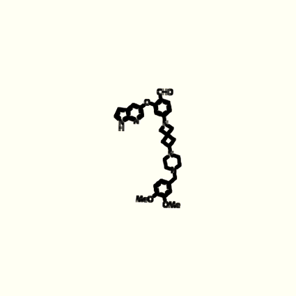 COc1ccc(CN2CCN(C3CC4(C3)CN(c3ccc(C=O)c(Oc5cnc6[nH]ccc6c5)c3)C4)CC2)cc1OC